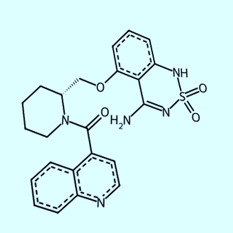 NC1=NS(=O)(=O)Nc2cccc(OC[C@H]3CCCCN3C(=O)c3ccnc4ccccc34)c21